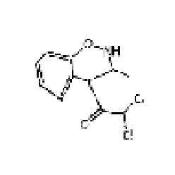 CC1NOc2ccccc2C1C(=O)C(Cl)Cl